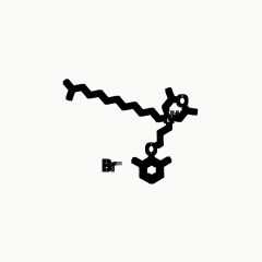 Cc1cccc(C)c1OCCC[N+]1(CCCCCCCCCCC(C)C)CC(C)OC(C)C1.[Br-]